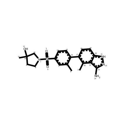 Cc1cc(S(=O)(=O)N2CCC(C)(O)C2)ccc1-c1ccc2[nH]nc(N)c2c1C